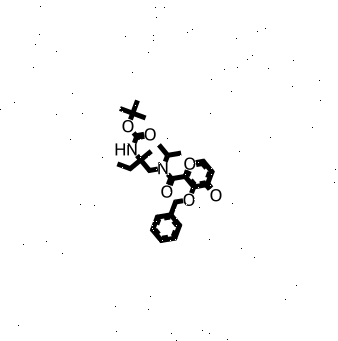 CCC(C)(CN(C(=O)c1occc(=O)c1OCc1ccccc1)C(C)C)NC(=O)OC(C)(C)C